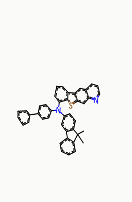 CC1(C)c2ccccc2-c2cc(N(c3ccc(-c4ccccc4)cc3)c3cccc4c3sc3cc5ncccc5cc34)ccc21